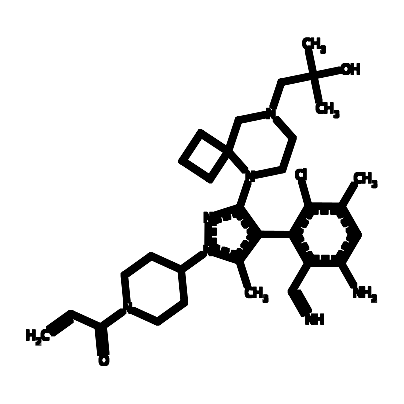 C=CC(=O)N1CCC(n2nc(N3CCN(CC(C)(C)O)CC34CCC4)c(-c3c(Cl)c(C)cc(N)c3C=N)c2C)CC1